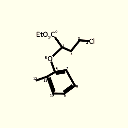 CCOC(=O)C(CCCl)Oc1ccccc1C